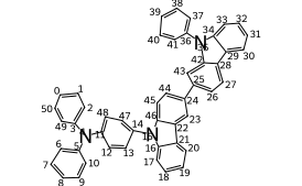 c1ccc(N(c2ccccc2)c2ccc(-n3c4ccccc4c4cc(-c5ccc6c7ccccc7n(-c7ccccc7)c6c5)ccc43)cc2)cc1